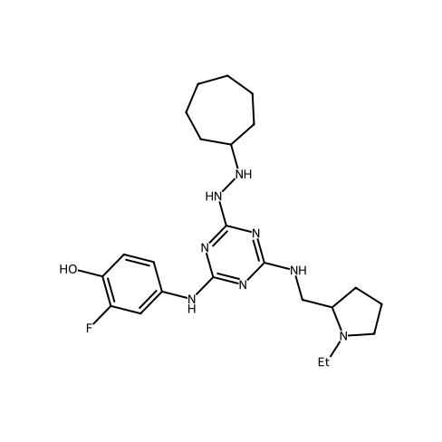 CCN1CCCC1CNc1nc(NNC2CCCCCC2)nc(Nc2ccc(O)c(F)c2)n1